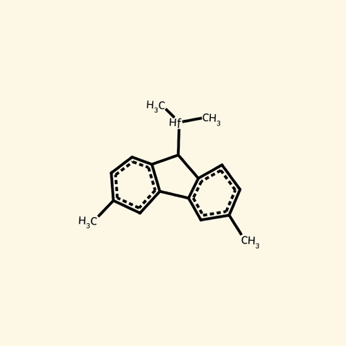 Cc1ccc2c(c1)-c1cc(C)ccc1[CH]2[Hf]([CH3])[CH3]